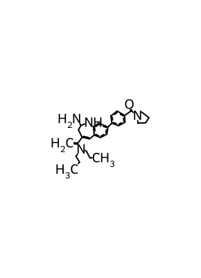 C=C(C1=Cc2ccc(-c3ccc(C(=O)N4CCCC4)cc3)cc2NC(N)C1)N(CCC)CCC